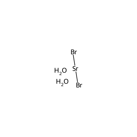 O.O.[Br][Sr][Br]